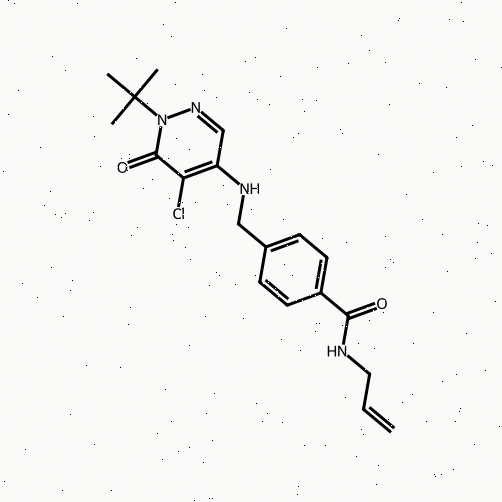 C=CCNC(=O)c1ccc(CNc2cnn(C(C)(C)C)c(=O)c2Cl)cc1